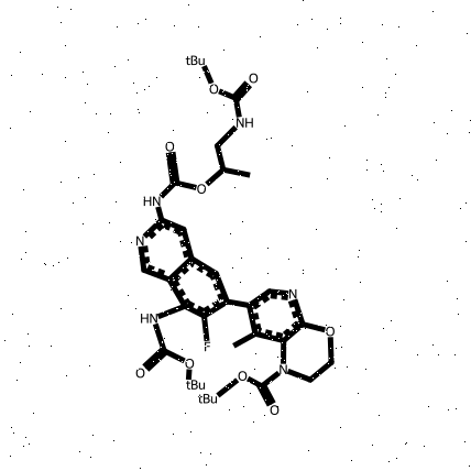 Cc1c(-c2cc3cc(NC(=O)OC(C)CNC(=O)OC(C)(C)C)ncc3c(NC(=O)OC(C)(C)C)c2F)cnc2c1N(C(=O)OC(C)(C)C)CCO2